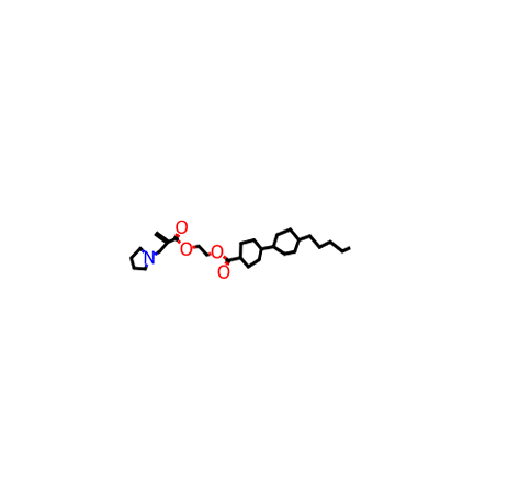 C=C(CN1CCCC1)C(=O)OCCOC(=O)C1CCC(C2CCC(CCCCC)CC2)CC1